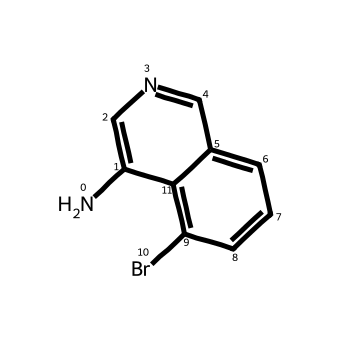 Nc1cncc2cccc(Br)c12